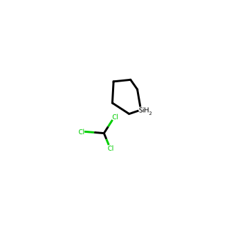 C1CC[SiH2]CC1.ClC(Cl)Cl